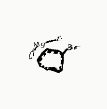 Brc1cc[c]cc1.[Cl][Mg][Cl]